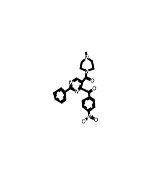 CN1CCN(C(=O)c2cnc(-c3ccccc3)nc2C(=O)c2ccc([N+](=O)[O-])cc2)CC1